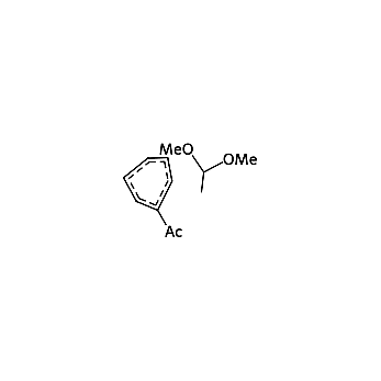 CC(=O)c1ccccc1.COC(C)OC